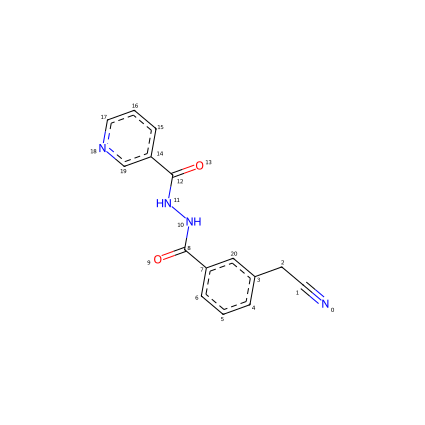 N#CCc1cccc(C(=O)NNC(=O)c2cccnc2)c1